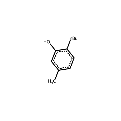 CCCCc1ccc(C)cc1O